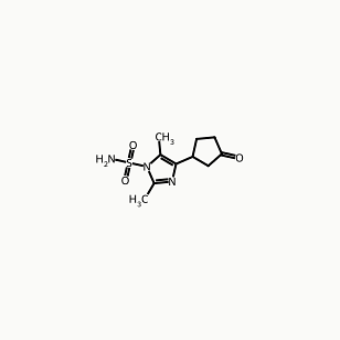 Cc1nc(C2CCC(=O)C2)c(C)n1S(N)(=O)=O